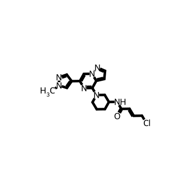 Cn1cc(-c2cn3nccc3c(N3CCCC(NC(=O)/C=C/CCl)C3)n2)cn1